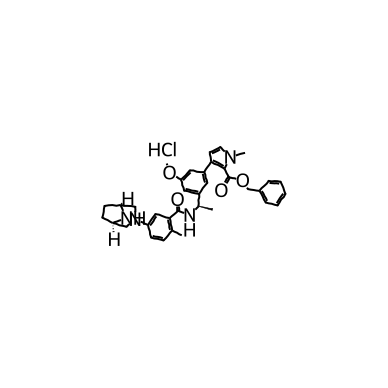 COc1cc(-c2ccn(C)c2C(=O)OCc2ccccc2)cc([C@@H](C)NC(=O)c2cc(N3C[C@H]4CC[C@@H](C3)N4)ccc2C)c1.Cl